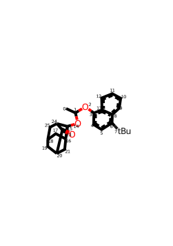 CC(Oc1ccc(C(C)(C)C)c2ccccc12)OC1C2CC3CC(C2)C(=O)C1C3